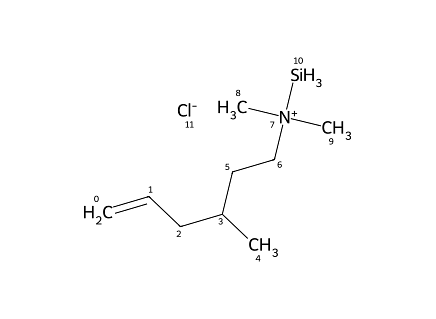 C=CCC(C)CC[N+](C)(C)[SiH3].[Cl-]